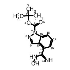 CC(C)(C)OC(=O)n1ncc2c(C(=N)NO)cccc21